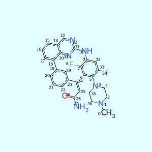 CN1CCN(c2cc(F)c(Nc3ncc4cccc(-c5cccc(C=CC(N)=O)c5)c4n3)cc2F)CC1